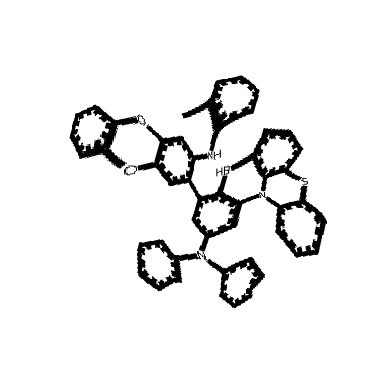 Cc1ccccc1Nc1cc2c(cc1-c1cc(N(c3ccccc3)c3ccccc3)cc3c1Bc1cccc4c1N3c1ccccc1S4)Oc1ccccc1O2